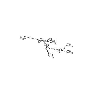 CCCCCCCCCCCCC(=O)OCCN(CCOC(=O)OC(CCCCCC)CCCCCCCCCC(=O)OCC(CCCC)CCCCCC)CCN(CC)CC